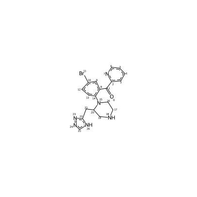 O=C(c1ccccn1)c1cc(Br)ccc1N1CCNCC1Cc1nnc[nH]1